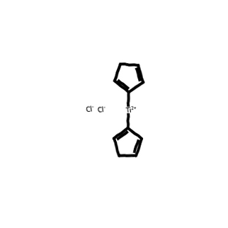 C1=C[C]([Ti+2][C]2=CCC=C2)=CC1.[Cl-].[Cl-]